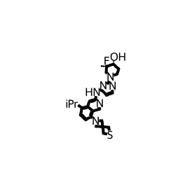 CC(C)c1ccc(N2CC3(CSC3)C2)c2cnc(Nc3ccnc(N4CC[C@@H](O)[C@@](C)(F)C4)n3)cc12